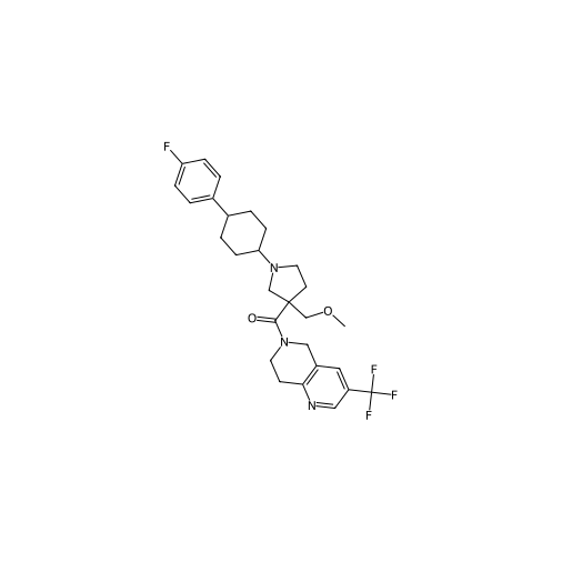 COCC1(C(=O)N2CCc3ncc(C(F)(F)F)cc3C2)CCN(C2CCC(c3ccc(F)cc3)CC2)C1